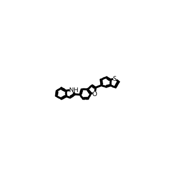 c1ccc2[nH]c(-c3ccc4oc(-c5ccc6sccc6c5)cc4c3)cc2c1